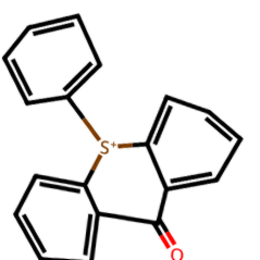 O=c1c2ccccc2[s+](-c2ccccc2)c2ccccc12